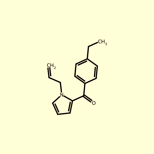 C=CCn1cccc1C(=O)c1ccc(CC)cc1